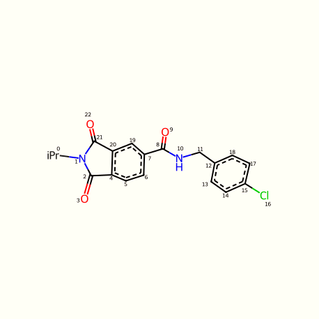 CC(C)N1C(=O)c2ccc(C(=O)NCc3ccc(Cl)cc3)cc2C1=O